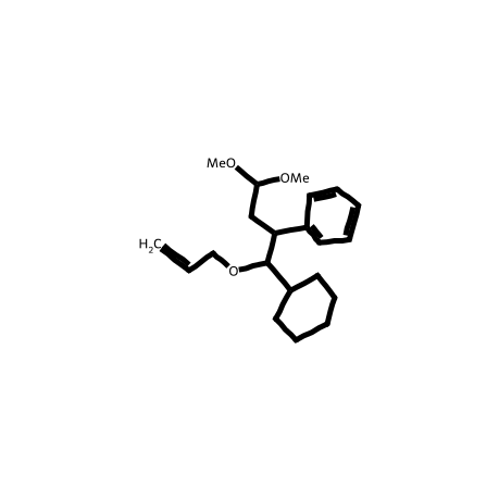 C=CCOC(C1CCCCC1)C(CC(OC)OC)c1ccccc1